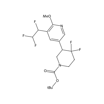 COc1ncc(C2CN(C(=O)OC(C)(C)C)CCC2(F)F)cc1C(F)C(F)F